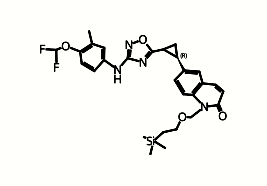 Cc1cc(Nc2noc(C3C[C@H]3c3ccc4c(ccc(=O)n4COCC[Si](C)(C)C)c3)n2)ccc1OC(F)F